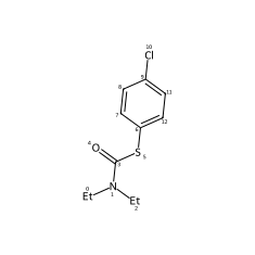 CCN(CC)C(=O)Sc1ccc(Cl)cc1